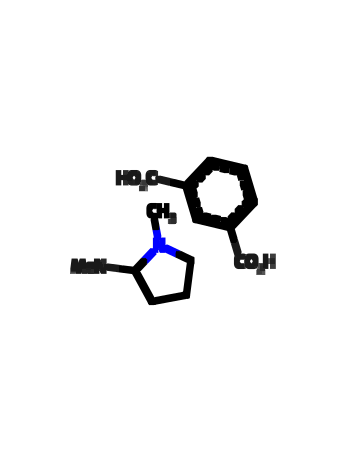 CNC1CCCN1C.O=C(O)c1cccc(C(=O)O)c1